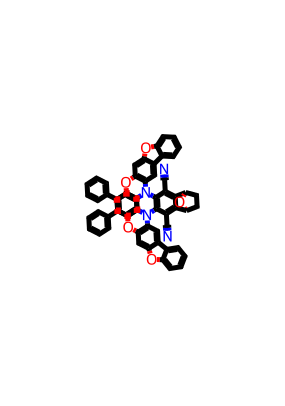 N#Cc1c2c(c(C#N)c(N3c4ccc(-c5ccccc5)cc4Oc4cc5oc6ccccc6c5cc43)c1N1c3ccc(-c4ccccc4)cc3Oc3cc4oc5ccccc5c4cc31)C1CCC2O1